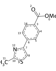 COC(=O)c1ccc(-c2csc(C)n2)cc1